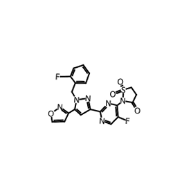 O=C1CCS(=O)(=O)N1c1nc(-c2cc(-c3ccon3)n(Cc3ccccc3F)n2)ncc1F